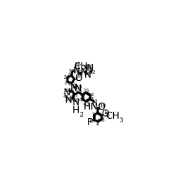 COc1ccc(F)cc1C(=O)NCc1ccc(-c2nn(C3CCC(CN(C)C(=O)n4cncn4)C3)c3ncnc(N)c23)cc1